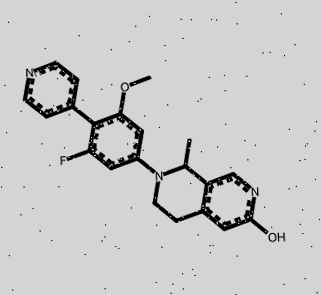 COc1cc(N2CCc3cc(O)ncc3C2C)cc(F)c1-c1ccncc1